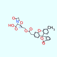 Cc1ccc2c(c1)Oc1cc(CC(=O)OC/C=C3\OC4CC(=O)N4C3C(=O)O)ccc1C21OC(=O)c2ccccc21